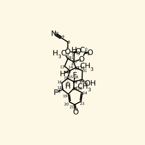 CC(=O)O[C@]1(C(=O)OCC#N)[C@H](C)C[C@H]2[C@@H]3C[C@H](F)C4=CC(=O)C=C[C@]4(C)[C@@]3(F)[C@@H](O)C[C@@]21C